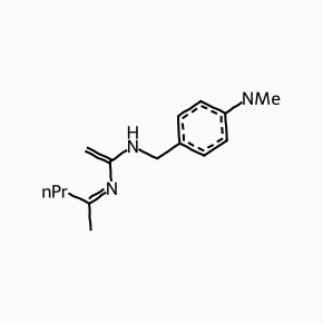 C=C(/N=C(/C)CCC)NCc1ccc(NC)cc1